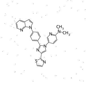 CN(C)c1ccc(-n2cc(-c3nccs3)nc2-c2ccc(-n3ccc4cccnc43)cc2)cn1